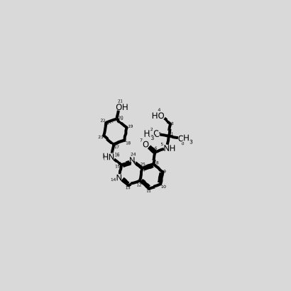 CC(C)(CO)NC(=O)c1cccc2cnc(NC3CCC(O)CC3)nc12